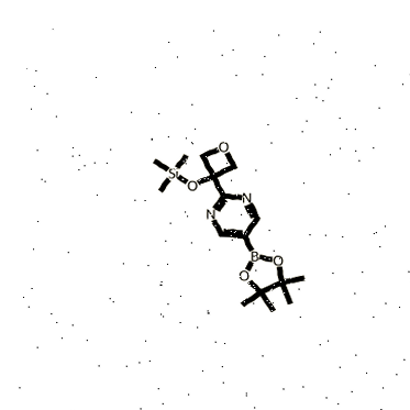 CC1(C)OB(c2cnc(C3(O[Si](C)(C)C)COC3)nc2)OC1(C)C